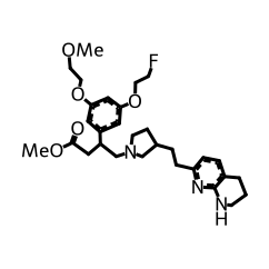 COCCOc1cc(OCCF)cc(C(CC(=O)OC)CN2CCC(CCc3ccc4c(n3)NCCC4)C2)c1